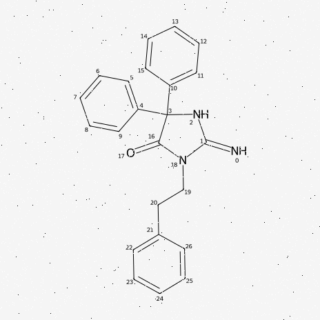 N=C1NC(c2ccccc2)(c2ccccc2)C(=O)N1CCc1ccccc1